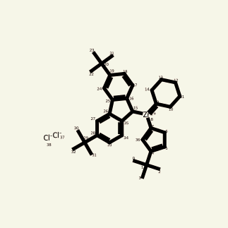 CC(C)(C)C1=CC[C]([Zr+2](=[C]2CCCCC2)[CH]2c3ccc(C(C)(C)C)cc3-c3cc(C(C)(C)C)ccc32)=C1.[Cl-].[Cl-]